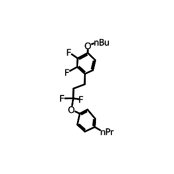 CCCCOc1ccc(CCC(F)(F)Oc2ccc(CCC)cc2)c(F)c1F